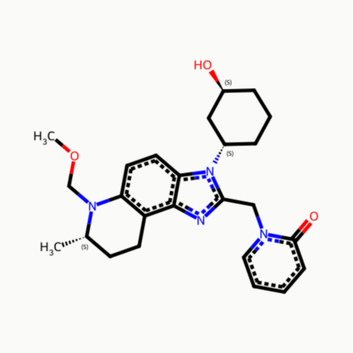 COCN1c2ccc3c(nc(Cn4ccccc4=O)n3[C@H]3CCC[C@H](O)C3)c2CC[C@@H]1C